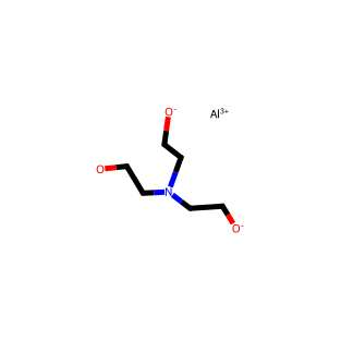 [Al+3].[O-]CCN(CC[O-])CC[O-]